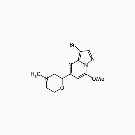 COc1cc(C2CN(C)CCO2)nc2c(Br)cnn12